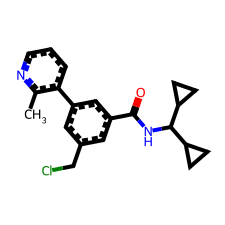 Cc1ncccc1-c1cc(CCl)cc(C(=O)NC(C2CC2)C2CC2)c1